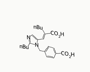 CCCC/C(=C\c1cnc(CCCC)n1Cc1ccc(C(=O)O)cc1)C(=O)O